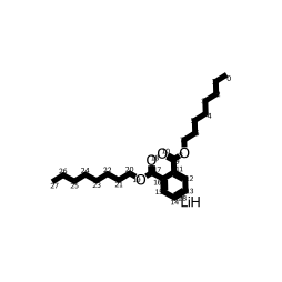 CCCCCCCCOC(=O)c1ccccc1C(=O)OCCCCCCCC.[LiH]